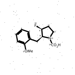 COc1ccccc1C[C@H]1[C@@H](F)CCN1C(=O)O